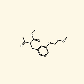 COCCOc1cccc(CC(C(C)=O)C(=O)OC)c1